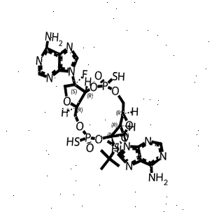 CC(C)(C)[Si](C)(C)O[C@H]1[C@H]2OP(=O)(S)OC[C@H]3OC[C@@](F)(n4cnc5c(N)ncnc54)[C@@H]3OP(=O)(S)OC[C@H]1O[C@H]2n1cnc2c(N)ncnc21